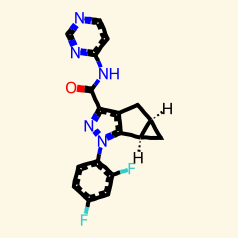 O=C(Nc1ccncn1)c1nn(-c2ccc(F)cc2F)c2c1C[C@H]1C[C@@H]21